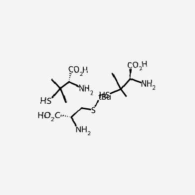 CC(C)(C)SC[C@H](N)C(=O)O.CC(C)(S)[C@@H](N)C(=O)O.CC(C)(S)[C@H](N)C(=O)O